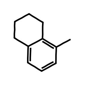 Cc1cccc2c1CCCC2